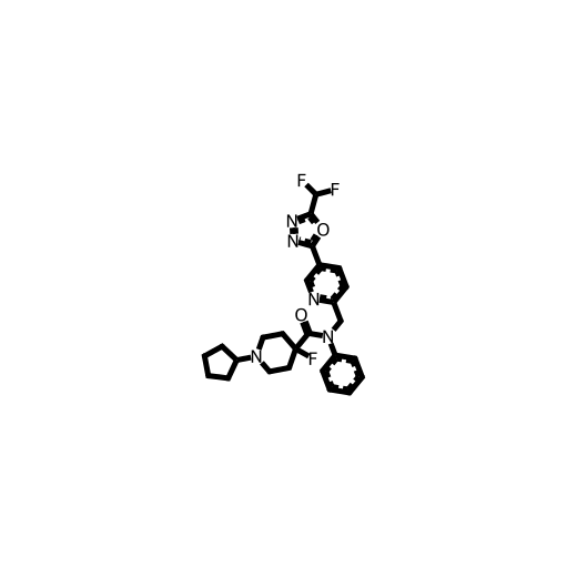 O=C(N(Cc1ccc(-c2nnc(C(F)F)o2)cn1)c1ccccc1)C1(F)CCN(C2CCCC2)CC1